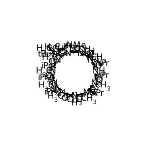 CC[C@H]1NC(=O)[C@@H]([C@H](O[Si](C)(C)C(C)(C)C)[C@H](C)CCNC)N(C)C(=O)[C@@H](C(C)C)N(C)C(=O)[C@@H](CC(C)C)N(C)C(=O)[C@@H](CC(C)C)N(C)C(=O)[C@H](C)NC(=O)[C@@H](C)NC(=O)[C@@H](CC(C)C)N(C)C(=O)[C@@H](C(C)C)NC(=O)[C@H](CC(C)C)N(C)C(=O)[C@@H](C)N(C)C1=O